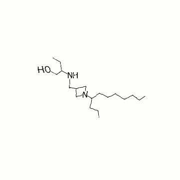 CCCCCCCC(CCC)N1CC(CNC(CC)CO)C1